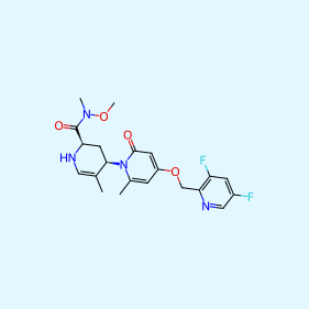 CON(C)C(=O)[C@H]1C[C@@H](n2c(C)cc(OCc3ncc(F)cc3F)cc2=O)C(C)=CN1